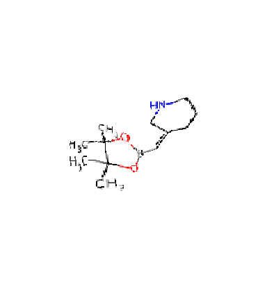 CC1(C)OB(C=C2CCCNC2)OC1(C)C